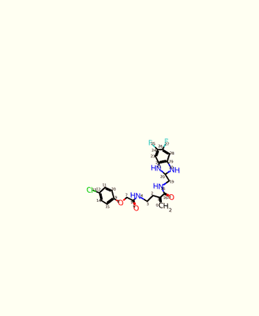 C=C(CCNC(=O)COc1ccc(Cl)cc1)C(=O)NCC1Nc2cc(F)c(F)cc2N1